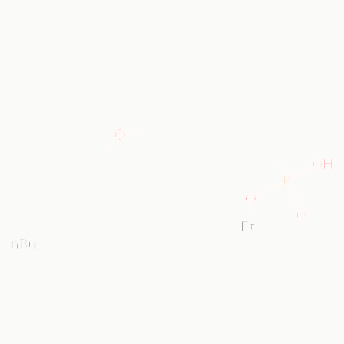 CCCCc1ccc(Oc2ccc(CP(=O)(O)OCC)cc2)cc1